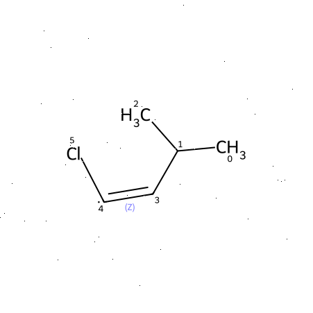 CC(C)/C=[C]\Cl